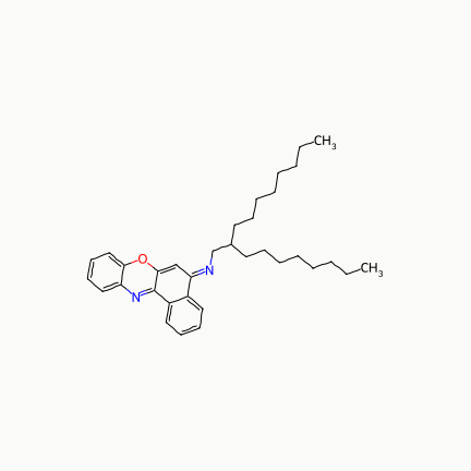 CCCCCCCCC(CCCCCCCC)CN=c1cc2oc3ccccc3nc-2c2ccccc12